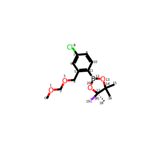 COCOCc1cc(Cl)ccc1B1OC(C)(C)[C@@](C)(I)O1